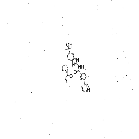 C=CC(=O)N1CCC[C@@H]1Cn1c(NC(=O)c2ccc(-c3cccnn3)s2)nc2cc(C(C)(C)O)ccc21